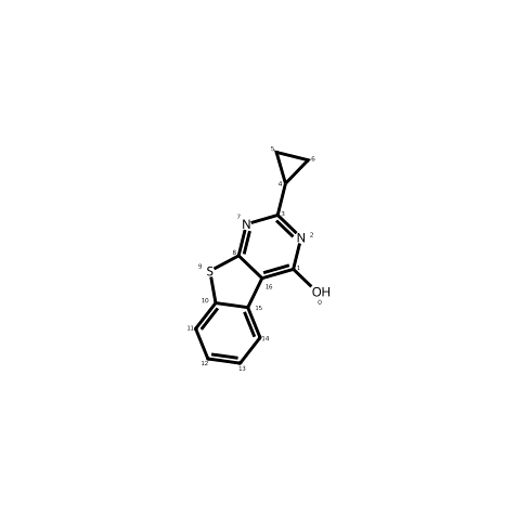 Oc1nc(C2CC2)nc2sc3ccccc3c12